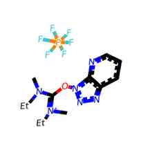 CCN(C)C(On1nnc2cccnc21)=[N+](C)CC.F[P-](F)(F)(F)(F)F